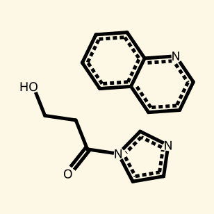 O=C(CCO)n1ccnc1.c1ccc2ncccc2c1